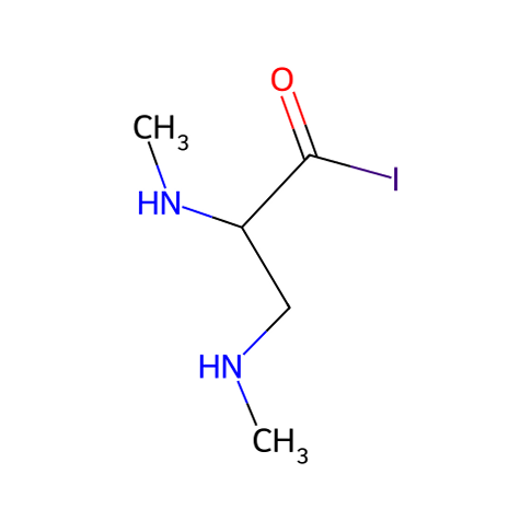 CNCC(NC)C(=O)I